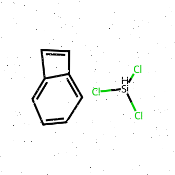 C1=Cc2ccccc21.Cl[SiH](Cl)Cl